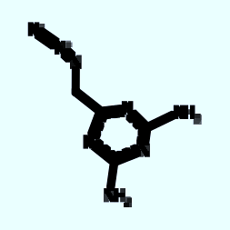 [N-]=[N+]=NCc1nc(N)nc(N)n1